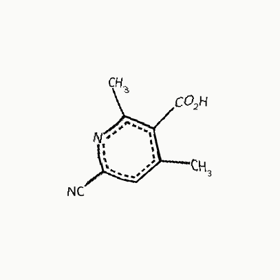 Cc1cc(C#N)nc(C)c1C(=O)O